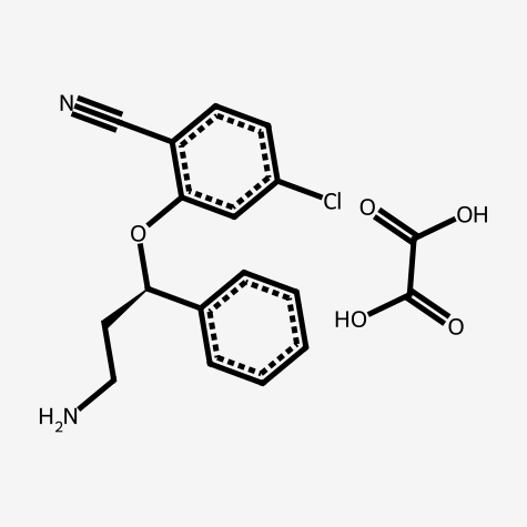 N#Cc1ccc(Cl)cc1O[C@H](CCN)c1ccccc1.O=C(O)C(=O)O